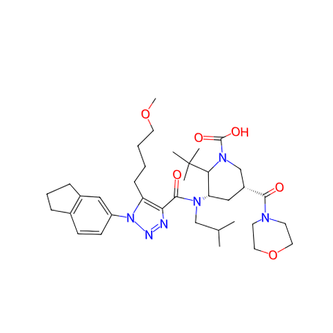 COCCCCc1c(C(=O)N(CC(C)C)[C@H]2C[C@@H](C(=O)N3CCOCC3)CN(C(=O)O)C2C(C)(C)C)nnn1-c1ccc2c(c1)CCC2